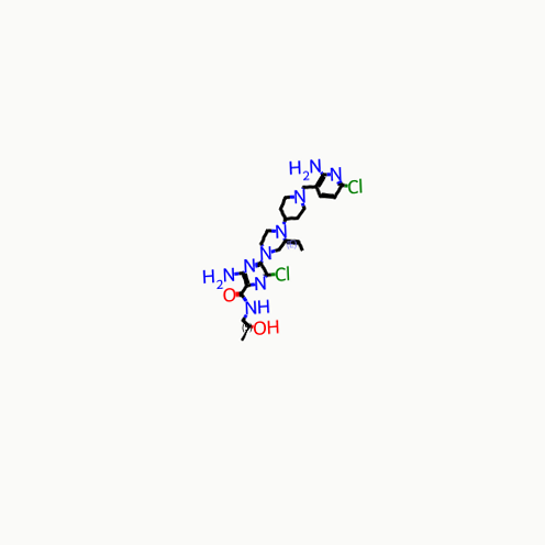 C/C=C1\CN(c2nc(N)c(C(=O)NC[C@H](C)O)nc2Cl)CCN1C1CCN(Cc2ccc(Cl)nc2N)CC1